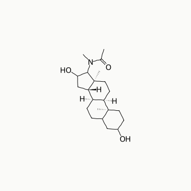 CC(=O)N(C)C1C(O)C[C@H]2[C@@H]3CCC4CC(O)CC[C@]4(C)[C@@H]3CC[C@]12C